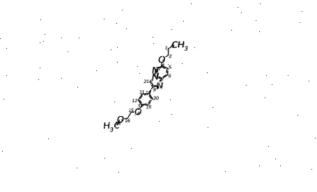 CCCOc1ccc2nc(-c3ccc(OCCOC)cc3)cn2n1